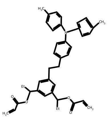 C=CC(=O)OC(CC)c1cc(CCc2ccc(N(c3ccc(C)cc3)c3ccc(C)cc3)cc2)cc(C(CC)OC(=O)C=C)c1